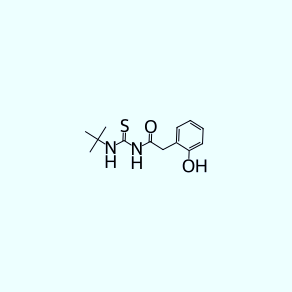 CC(C)(C)NC(=S)NC(=O)Cc1ccccc1O